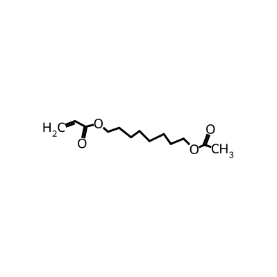 C=CC(=O)OCCCCCCCCOC(C)=O